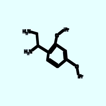 CC(C)Oc1ccc(C(N)CN)c(OC(C)C)c1